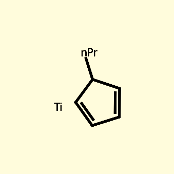 C[CH]CC1C=CC=C1.[Ti]